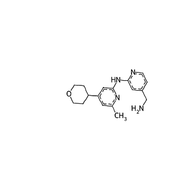 Cc1cc(C2CCOCC2)cc(Nc2cc(CN)ccn2)n1